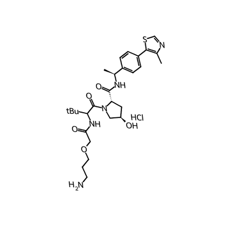 Cc1ncsc1-c1ccc([C@H](C)NC(=O)[C@@H]2C[C@@H](O)CN2C(=O)C(NC(=O)COCCCN)C(C)(C)C)cc1.Cl